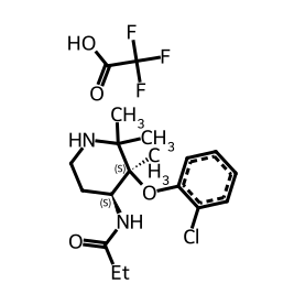 CCC(=O)N[C@H]1CCNC(C)(C)[C@@]1(C)Oc1ccccc1Cl.O=C(O)C(F)(F)F